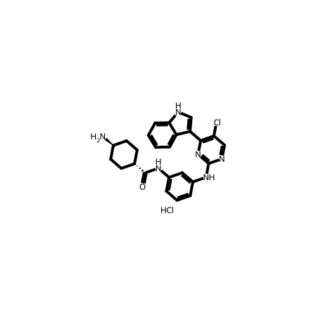 Cl.N[C@H]1CC[C@H](C(=O)Nc2cccc(Nc3ncc(Cl)c(-c4c[nH]c5ccccc45)n3)c2)CC1